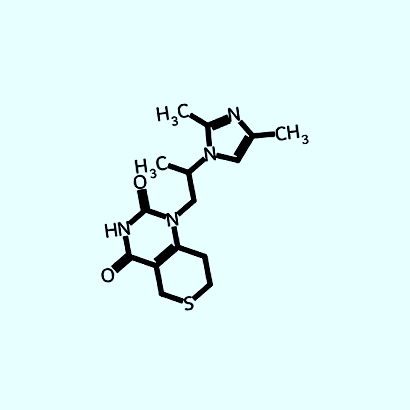 Cc1cn(C(C)Cn2c3c(c(=O)[nH]c2=O)CSCC3)c(C)n1